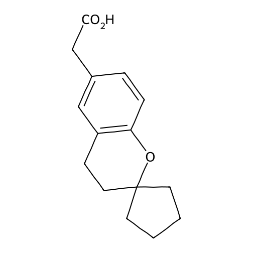 O=C(O)Cc1ccc2c(c1)CCC1(CCCC1)O2